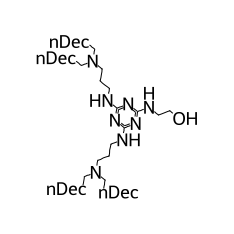 CCCCCCCCCCCN(CCCCCCCCCCC)CCCNc1nc(NCCO)nc(NCCCN(CCCCCCCCCCC)CCCCCCCCCCC)n1